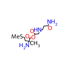 CSCC[C@@](C)(N)C(=O)OC(=O)CNCCC(N)=O